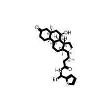 CCC(NC(=O)C[C@@H](C)[C@H]1CC[C@H]2[C@@H]3[C@H](O)C[C@@H]4CC(=O)CC[C@]4(C)[C@H]3CC[C@]12C)c1cccs1